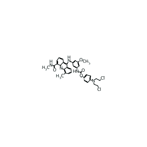 CNC(=O)c1cccc2c(Nc3cc(NC(=O)Oc4ccc(N(CCCl)CCCl)cc4)cc(OC)c3)c3cccc(C)c3nc12